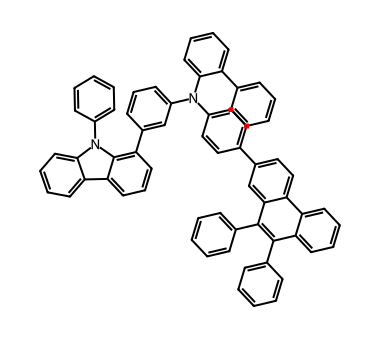 c1ccc(-c2ccccc2N(c2ccc(-c3ccc4c(c3)c(-c3ccccc3)c(-c3ccccc3)c3ccccc34)cc2)c2cccc(-c3cccc4c5ccccc5n(-c5ccccc5)c34)c2)cc1